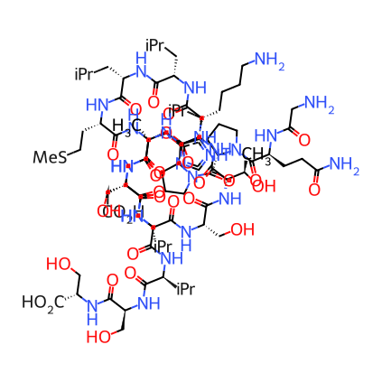 CSCC[C@H](NC(=O)[C@H](CC(C)C)NC(=O)[C@H](CC(C)C)NC(=O)[C@H](CCCCN)NC(=O)[C@@H]1CCCN1C(=O)[C@@H]1CCCN1C(=O)[C@H](CCC(N)=O)NC(=O)CN)C(=O)N[C@@H](Cc1c[nH]cn1)C(=O)N[C@@H](CC(=O)O)C(=O)N[C@H](C(=O)N[C@@H](CO)C(=O)N[C@H](C(=O)N[C@@H](CC(C)C)C(=O)N[C@@H](C)C(=O)N[C@@H](CO)C(=O)NCC(=O)N[C@H](C(=O)N[C@@H](CO)C(=O)N[C@@H](CO)C(=O)O)C(C)C)[C@@H](C)O)C(C)C